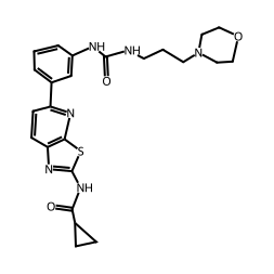 O=C(NCCCN1CCOCC1)Nc1cccc(-c2ccc3nc(NC(=O)C4CC4)sc3n2)c1